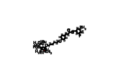 CC[C@H](C)C(C)(C)C[C@@]1(C(=O)OC/C=C/CCCOc2ccc(/C=C/C(=O)OCc3cc(F)c(F)c(P)c3)cc2)C(C)C1(C)C(C)(C)CC